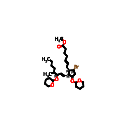 CCCCC(C)[C@@H](C=C[C@@H]1[C@@H](CC=CCCCC(=O)OC)[C@@H](Br)C[C@H]1OC1CCCCO1)OC1CCCCO1